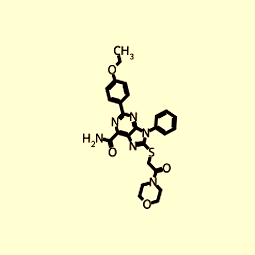 CCOc1ccc(-c2nc(C(N)=O)c3nc(SCC(=O)N4CCOCC4)n(-c4ccccc4)c3n2)cc1